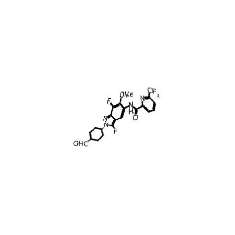 COc1c(NC(=O)c2cccc(C(F)(F)F)n2)cc2c(F)n([C@H]3CC[C@H](C=O)CC3)nc2c1F